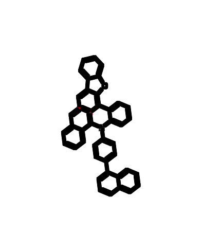 c1ccc(N(c2ccc(-c3cccc4ccccc34)cc2)c2cccc3ccccc23)c(-c2cccc3c2oc2ccccc23)c1